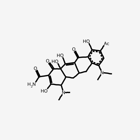 CC(=O)c1cc(N(C)C)c2c(c1O)C(=O)C1=C(O)C3(O)C(=O)C(C(N)=O)=C(O)C(N(C)C)C3CC1C2